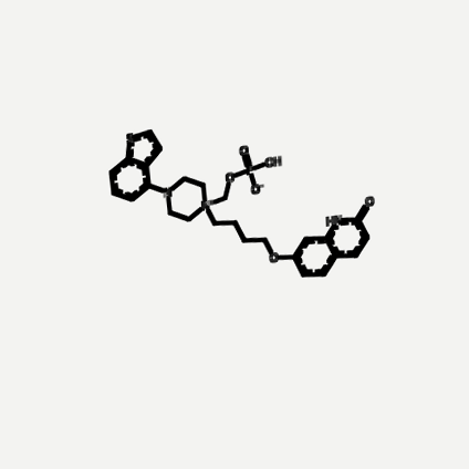 O=c1ccc2ccc(OCCCC[N+]3(COP(=O)([O-])O)CCN(c4cccc5sccc45)CC3)cc2[nH]1